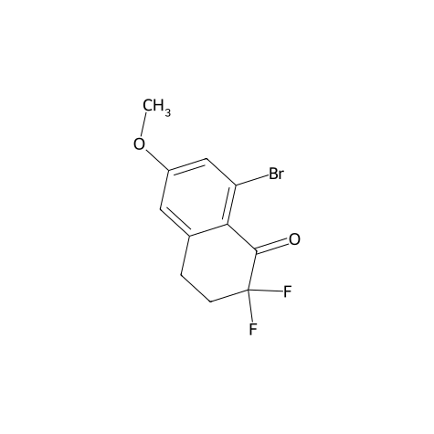 COc1cc(Br)c2c(c1)CCC(F)(F)C2=O